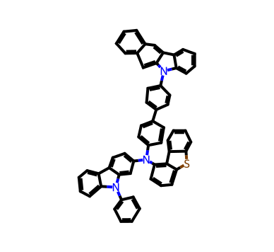 c1ccc(-n2c3ccccc3c3ccc(N(c4ccc(-c5ccc(-n6c7ccccc7c7cc8ccccc8cc76)cc5)cc4)c4cccc5sc6ccccc6c45)cc32)cc1